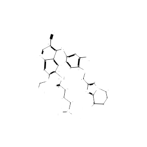 CCOc1cc2ncc(C#N)c(Nc3ccc(OCc4cn5c(n4)C(C)CCC5)c(Cl)c3)c2cc1NC(=O)CCCN(C)C